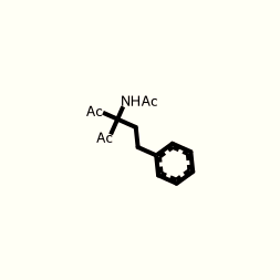 CC(=O)NC(CCc1ccccc1)(C(C)=O)C(C)=O